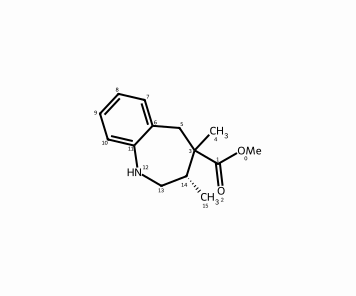 COC(=O)C1(C)Cc2ccccc2NC[C@H]1C